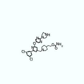 NC(=O)OCCC1CCN(Cc2cc(Oc3cnc(N4CCNCC4)nc3)nc(-c3cc(Cl)cc(Cl)c3)c2)CC1